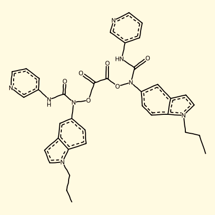 CCCn1ccc2cc(N(OC(=O)C(=O)ON(C(=O)Nc3cccnc3)c3ccc4c(ccn4CCC)c3)C(=O)Nc3cccnc3)ccc21